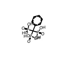 O=P(O)(O)C(c1ccccc1)(P(=O)(O)O)P(=O)(O)O